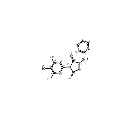 O=C1C=C(Nc2ccccc2)C(=O)N1c1cc(F)c(O)c(F)c1